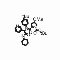 CO[C@H]1C[C@H](C(=O)N(c2ccc(C(C)(C)C)cc2)C(C(=O)NC2CCCCC2)c2cccnc2)N(C(=O)OC(C)(C)C)C1